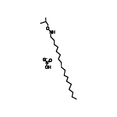 CCCCCCCCCCCCCCCCCCNOCC(C)C.O=[N+]([O-])O